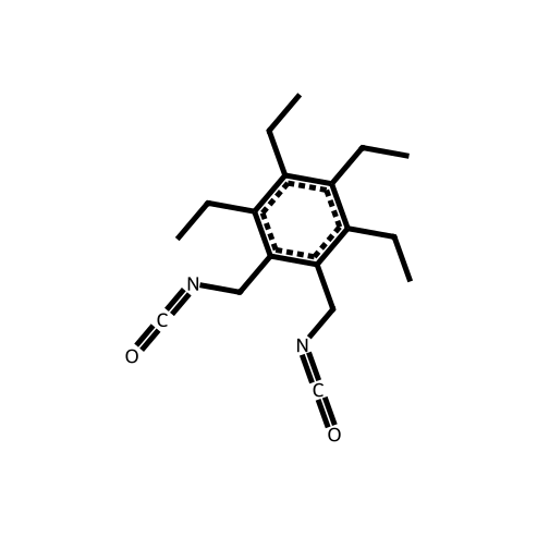 CCc1c(CC)c(CC)c(CN=C=O)c(CN=C=O)c1CC